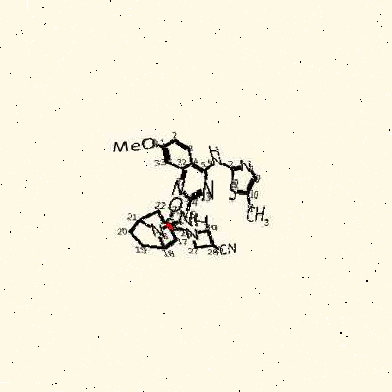 COc1ccc2c(Nc3ncc(C)s3)nc(NC3CC4CCC(C3)N4[S+]([O-])N3CC(C#N)C3)nc2c1